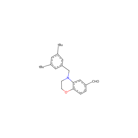 CC(C)(C)c1cc(CN2CCOc3ccc(C=O)cc32)cc(C(C)(C)C)c1